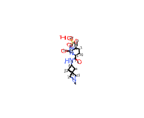 CN1CC2(CC(NC(=O)C3CC[C@@H]4CN3C(=O)N4OS(=O)O)C2)C1